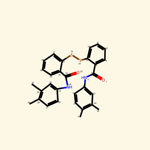 Cc1ccc(NC(=O)c2ccccc2SSc2ccccc2C(=O)Nc2ccc(C)c(C)c2)cc1C